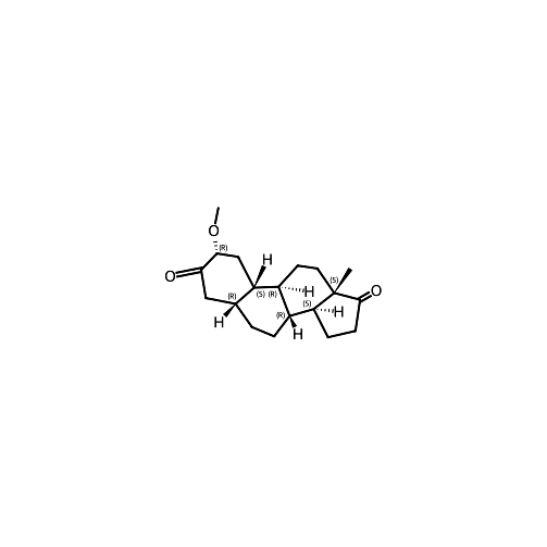 CO[C@@H]1C[C@H]2[C@H](CC[C@@H]3[C@@H]2CC[C@]2(C)C(=O)CC[C@@H]32)CC1=O